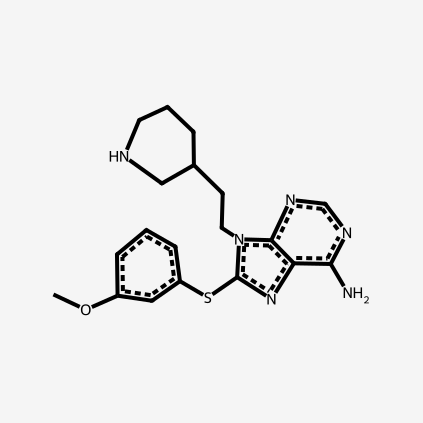 COc1cccc(Sc2nc3c(N)ncnc3n2CCC2CCCNC2)c1